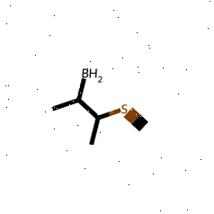 BC(C)C(C)S#C